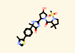 Cc1ncsc1-c1ccc(C2(C)NC(C3CC(O)CN3C(=O)C3N(S(C)(=O)=O)CCC3(C)C)=NC2=O)cc1